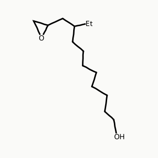 CCC(CCCCCCCCO)CC1CO1